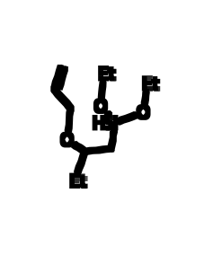 C=CCOC(CC)C[SiH](OCC)OCC